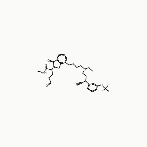 CCN(CCCCc1cccc2c1CN(C(CCC=O)C(=O)NC)C2=O)CCC(C#N)c1cccc(OC(F)(F)F)c1